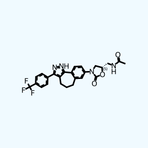 CC(=O)NC[C@H]1CN(c2ccc3c(c2)CCCc2c(-c4ccc(C(F)(F)F)cc4)n[nH]c2-3)C(=O)O1